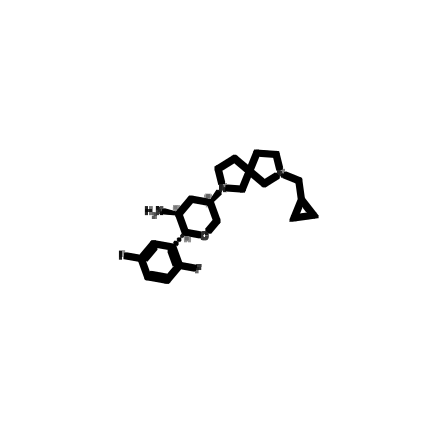 N[C@H]1C[C@@H](N2CCC3(CCN(CC4CC4)C3)C2)CO[C@@H]1c1cc(F)ccc1F